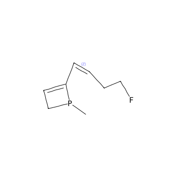 CP1CC=C1/C=C\CCF